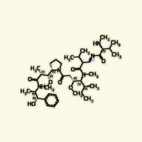 CC[C@H](C)[C@@H]([C@@H](CC(=O)N1CCC[C@H]1[C@H](OC)[C@@H](C)C(=O)N[C@H](C)[C@@H](O)c1ccccc1)OC)N(C)C(=O)C(/C=N/C(=O)[C@@H](NC)C(C)C)C(C)C